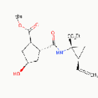 C=C[C@@H]1C[C@]1(NC(=O)[C@@H]1C[C@@H](O)CC1C(=O)OC(C)(C)C)C(=O)OCC